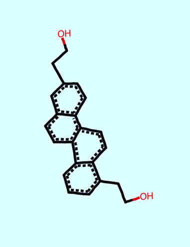 OCCc1ccc2c(ccc3c4cccc(CCO)c4ccc23)c1